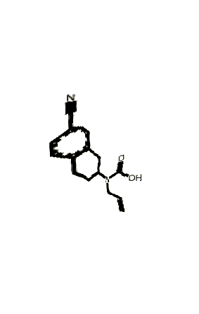 C=CCN(C(=O)O)C1CCc2ccc(C#N)cc2C1